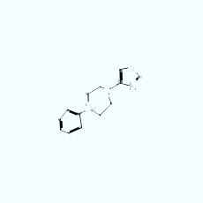 c1ccc(N2CCN(c3cscn3)CC2)cc1